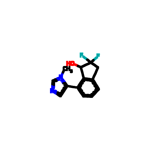 Cn1cncc1-c1cccc2c1C(O)C(F)(F)C2